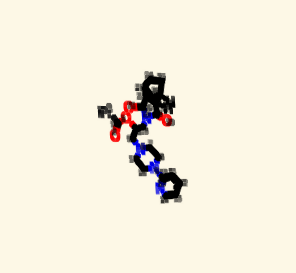 CC(C)C(=O)OC(CN1CCN(c2ccccn2)CC1)CN1C(=O)C2C3C=C[C@@H](C3)[C@@H]2C1=O